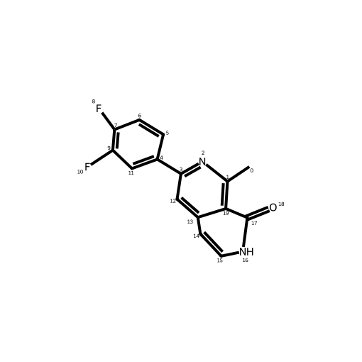 Cc1nc(-c2ccc(F)c(F)c2)cc2cc[nH]c(=O)c12